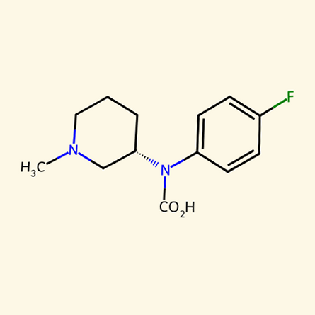 CN1CCC[C@H](N(C(=O)O)c2ccc(F)cc2)C1